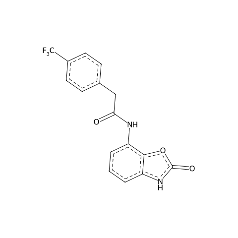 O=C(Cc1ccc(C(F)(F)F)cc1)Nc1cccc2[nH]c(=O)oc12